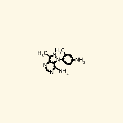 Cc1cc(N)ccc1-n1nc(C)c2ncnc(N)c21